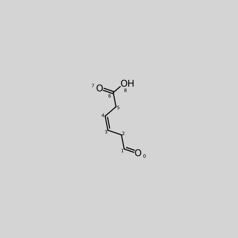 O=CC/C=C\CC(=O)O